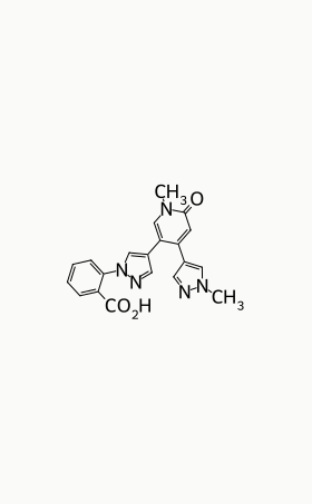 Cn1cc(-c2cc(=O)n(C)cc2-c2cnn(-c3ccccc3C(=O)O)c2)cn1